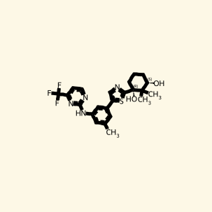 Cc1cc(Nc2nccc(C(F)(F)F)n2)cc(-c2cnc([C@@]3(O)CCC[C@H](O)C3(C)C)s2)c1